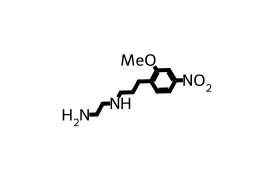 COc1cc([N+](=O)[O-])ccc1CCCNCCN